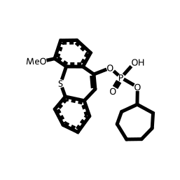 COc1cccc2c1Sc1ccccc1C=C2OP(=O)(O)OC1CCCCCC1